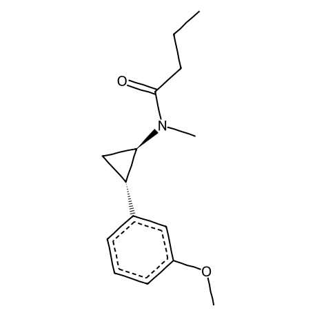 CCCC(=O)N(C)[C@@H]1C[C@H]1c1cccc(OC)c1